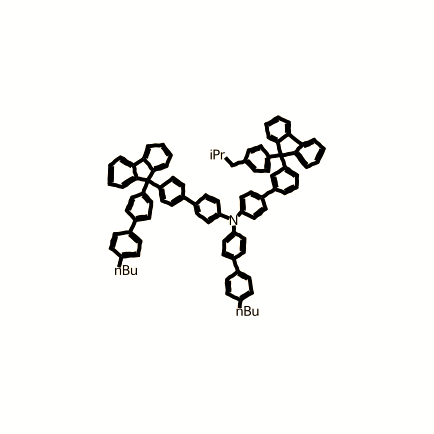 CCCCc1ccc(-c2ccc(N(c3ccc(-c4ccc(C5(c6ccc(-c7ccc(CCCC)cc7)cc6)c6ccccc6-c6ccccc65)cc4)cc3)c3ccc(-c4cccc(C5(c6ccc(CC(C)C)cc6)c6ccccc6-c6ccccc65)c4)cc3)cc2)cc1